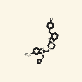 O=C(O)c1ccc2nc(CN3CCn4c(nc5c(Cc6ccc(Cl)cc6)cccc54)C3)n(C[C@@H]3CCO3)c2c1